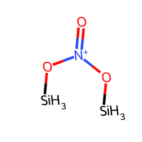 O=[N+](O[SiH3])O[SiH3]